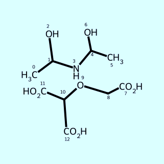 CC(O)NC(C)O.O=C(O)COC(C(=O)O)C(=O)O